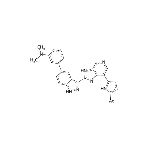 CC(=O)c1ccc(-c2cncc3[nH]c(-c4n[nH]c5ccc(-c6cncc(N(C)C)c6)cc45)nc23)[nH]1